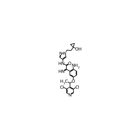 CC(Oc1ccc(N)c(C(=N)C(=O)Nc2cnn(CCC3(O)CC3)c2)c1)c1c(Cl)cncc1Cl